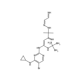 BC(B)(B)N/C(=C\C(=N)C(C)(C)N/N=C\C=N)Nc1ncc(Br)c(NC2CC2)n1